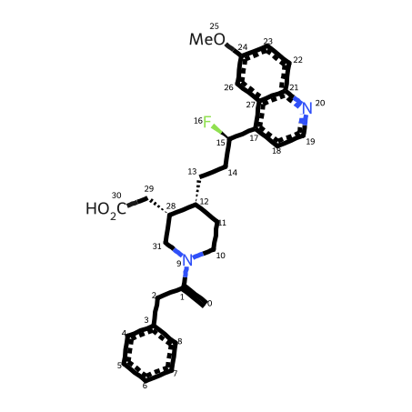 C=C(Cc1ccccc1)N1CC[C@@H](CC[C@@H](F)c2ccnc3ccc(OC)cc23)[C@@H](CC(=O)O)C1